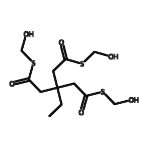 CCC(CC(=O)SCO)(CC(=O)SCO)CC(=O)SCO